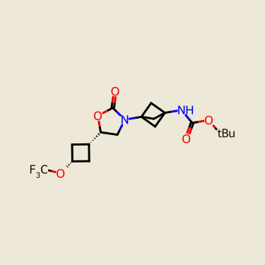 CC(C)(C)OC(=O)NC12CC(N3CC([C@H]4C[C@@H](OC(F)(F)F)C4)OC3=O)(C1)C2